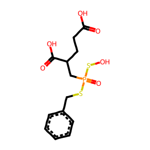 O=C(O)CCC(CP(=O)(SO)SCc1ccccc1)C(=O)O